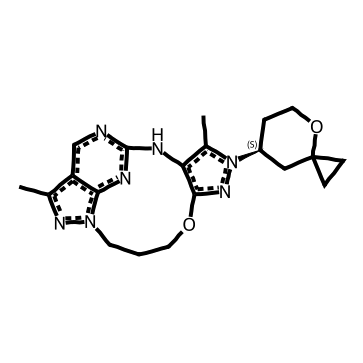 Cc1nn2c3nc(ncc13)Nc1c(nn([C@H]3CCOC4(CC4)C3)c1C)OCCC2